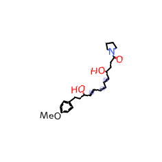 COc1ccc(CCC(O)/C=C/C=C\C=C\C(O)CCC(=O)N2CCCC2)cc1